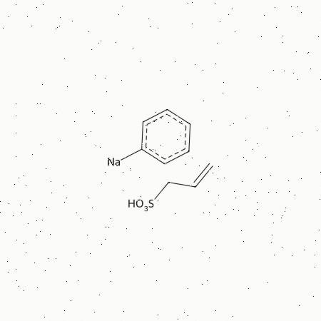 C=CCS(=O)(=O)O.[Na][c]1ccccc1